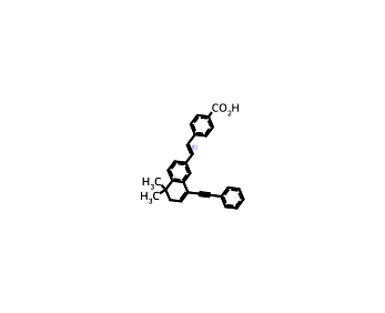 CC1(C)CC=C(C#Cc2ccccc2)c2cc(/C=C/c3ccc(C(=O)O)cc3)ccc21